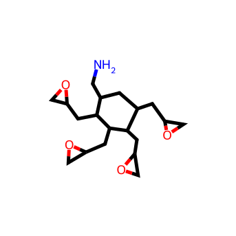 NCC1CC(CC2CO2)C(CC2CO2)C(CC2CO2)C1CC1CO1